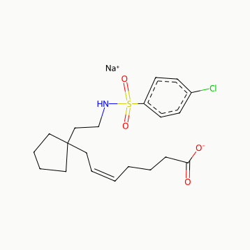 O=C([O-])CCC/C=C\CC1(CCNS(=O)(=O)c2ccc(Cl)cc2)CCCC1.[Na+]